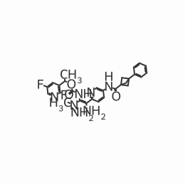 CC(OC(=O)N/C(=C(/N)c1ccc(NC(=O)C23CC(c4ccccc4)(C2)C3)cn1)N(C)N)c1cc(F)cnc1F